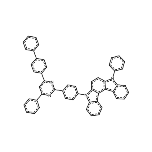 c1ccc(-c2ccc(-c3cc(-c4ccccc4)nc(-c4ccc(-n5c6ccccc6c6c7c8ccccc8n(-c8ccccc8)c7ccc65)cc4)n3)cc2)cc1